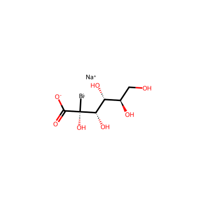 O=C([O-])[C@@](O)([Bi])[C@@H](O)[C@H](O)[C@H](O)CO.[Na+]